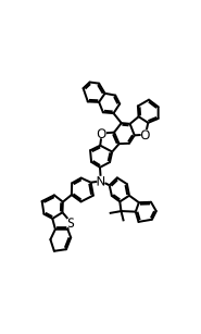 CC1(C)c2ccccc2-c2ccc(N(c3ccc(-c4cccc5c6c(sc45)C=CCC6)cc3)c3ccc4oc5c(-c6ccc7ccccc7c6)c6c(cc5c4c3)oc3ccccc36)cc21